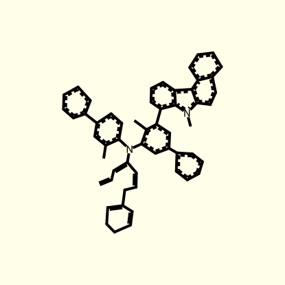 C=C/C=C(\C=C/CC1=CCCC=C1)N(c1ccc(-c2ccccc2)cc1C)c1cc(-c2ccccc2)cc(-c2cccc3c4c5ccccc5ccc4n(C)c23)c1C